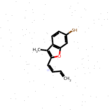 C=C/C=C\c1oc2cc(S)ccc2c1C